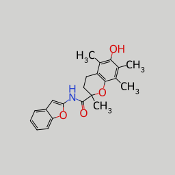 Cc1c(C)c2c(c(C)c1O)CCC(C)(C(=O)Nc1cc3ccccc3o1)O2